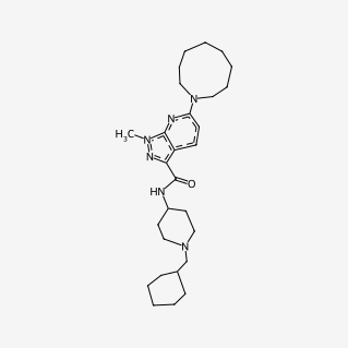 Cn1nc(C(=O)NC2CCN(CC3CCCCC3)CC2)c2ccc(N3CCCCCCCC3)nc21